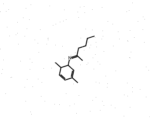 CCCC/C(C)=N/C1C=C(C)C=CC1C